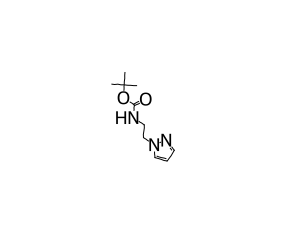 CC(C)(C)OC(=O)NCCn1cccn1